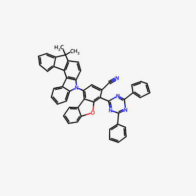 CC1(C)c2ccccc2-c2c1ccc1c2c2ccccc2n1-c1cc(C#N)c(-c2nc(-c3ccccc3)nc(-c3ccccc3)n2)c2oc3ccccc3c12